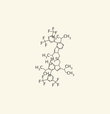 CCC(C)C1=Cc2c(ccc(C(C)C)c2-c2cc(C(F)(F)F)cc(C(F)(F)F)c2)C1C[SiH2]CC1C(C(C)CC)=Cc2c1ccc(C(C)C)c2-c1cc(C(F)(F)F)cc(C(F)(F)F)c1